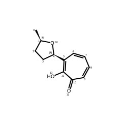 C[C@@H]1CC[C@H](c2ccccc(=O)c2O)O1